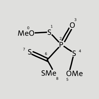 COSP(=O)(SOC)C(=S)SC